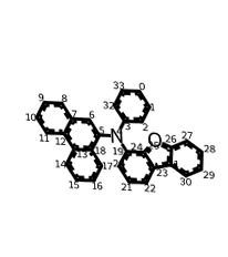 c1ccc(N(c2cc3ccccc3c3ccccc23)c2cccc3c2oc2ccccc23)cc1